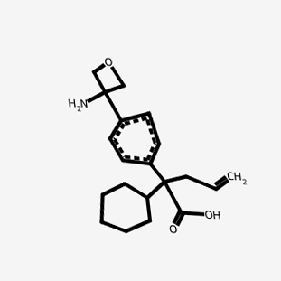 C=CCC(C(=O)O)(c1ccc(C2(N)COC2)cc1)C1CCCCC1